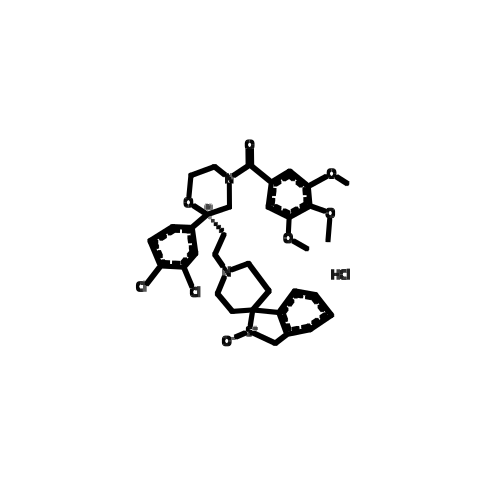 COc1cc(C(=O)N2CCO[C@](CCN3CCC4(CC3)c3ccccc3C[S+]4[O-])(c3ccc(Cl)c(Cl)c3)C2)cc(OC)c1OC.Cl